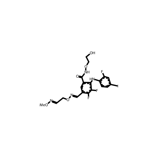 CO/N=C/CON=Cc1cc(C(=O)NOCCO)c(Nc2ccc(I)cc2F)c(F)c1F